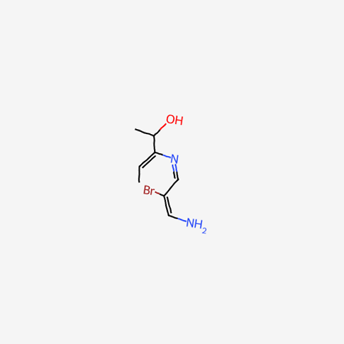 C\C=C(/N=C\C(Br)=C/N)C(C)O